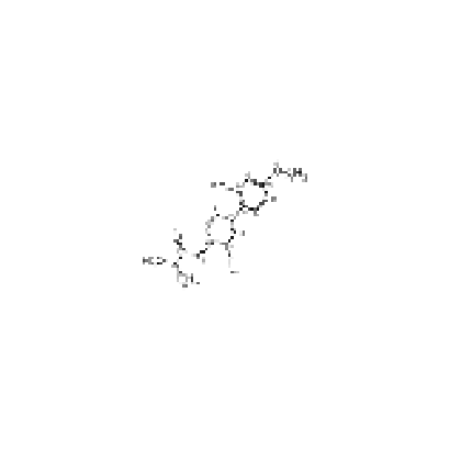 C=C(C)C(=O)Oc1ccc(-c2ccc(OC)cc2F)cc1F